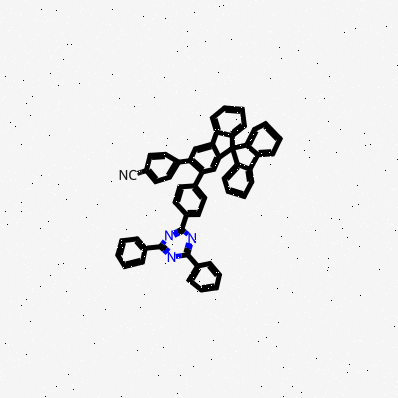 N#Cc1ccc(-c2cc3c(cc2-c2ccc(-c4nc(-c5ccccc5)nc(-c5ccccc5)n4)cc2)C2(c4ccccc4-c4ccccc42)c2ccccc2-3)cc1